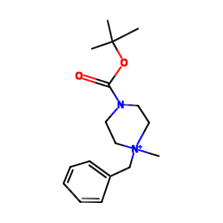 CC(C)(C)OC(=O)N1CC[N+](C)(Cc2ccccc2)CC1